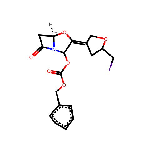 O=C(OCc1ccccc1)OC1C(=C2COC(CI)C2)O[C@@H]2CC(=O)N12